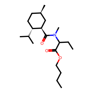 CCCCOC(=O)C(CC)N(C)C(=O)[C@@H]1C[C@H](C)CC[C@H]1C(C)C